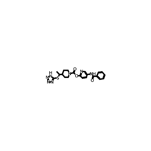 CC(Sc1nnn[nH]1)C1CCN(C(=O)Oc2ccc(NC(=O)c3ccccc3)cn2)CC1